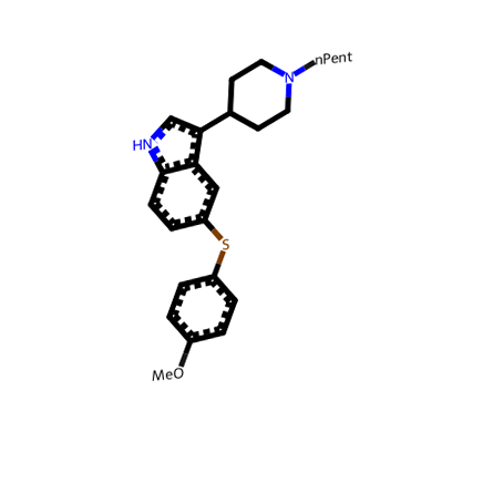 CCCCCN1CCC(c2c[nH]c3ccc(Sc4ccc(OC)cc4)cc23)CC1